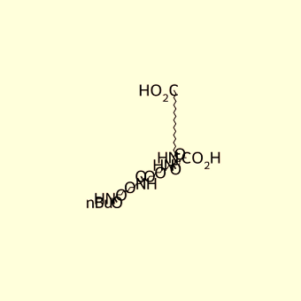 CCCCNC(=O)COCCOCCNC(=O)COCCOCCNC(=O)[C@H](CCC(=O)O)NC(=O)CCCCCCCCCCCCCCCCC(=O)O